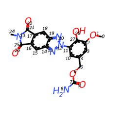 COc1cc(COC(N)=O)cc(-n2nc3cc4c(cc3n2)C(=O)N(C)C4=O)c1O